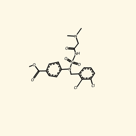 COC(=O)c1ccc(N(Cc2cccc(Cl)c2Cl)S(=O)(=O)NC(=O)CN(C)C)cc1